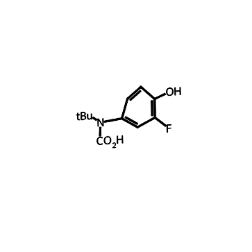 CC(C)(C)N(C(=O)O)c1ccc(O)c(F)c1